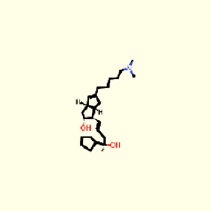 CN(C)CCCCCC1=C[C@H]2C[C@@H](O)[C@H](/C=C/C[C@@](C)(O)C3CCCC3)[C@H]2C1